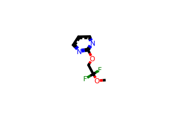 COC(F)(F)COc1ncccn1